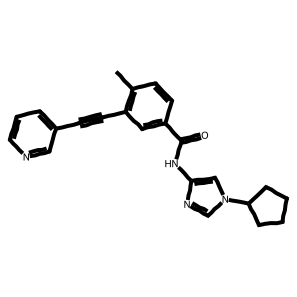 Cc1ccc(C(=O)Nc2cn(C3CCCC3)cn2)cc1C#Cc1cccnc1